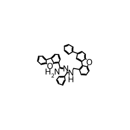 N/C(=N\C(NCc1cccc2oc3ccc(-c4ccccc4)cc3c12)c1ccccc1)c1cccc2c1oc1ccccc12